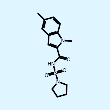 Cc1ccc2c(c1)cc(C(=O)NS(=O)(=O)N1CCCC1)n2C